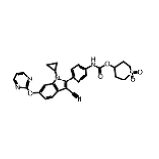 N#Cc1c(-c2ccc(NC(=O)OC3CCS(=O)(=O)CC3)cc2)n(C2CC2)c2cc(Oc3ncccn3)ccc12